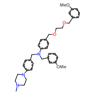 COc1cccc(COCCOCc2ccc(N(Cc3ccc(N4CCN(C)CC4)cc3)Cc3cccc(OC)c3)cc2)c1